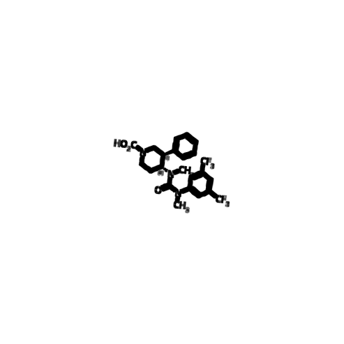 CN(C(=O)N(C)[C@@H]1CCN(C(=O)O)C[C@H]1c1ccccc1)c1cc(C(F)(F)F)cc(C(F)(F)F)c1